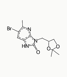 Cc1nc2c(cc1Br)[nH]c(=O)n2CC1COC(C)(C)O1